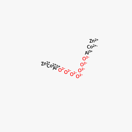 [Al+3].[Al+3].[Co+2].[Co+2].[O-2].[O-2].[O-2].[O-2].[O-2].[O-2].[O-2].[Zn+2].[Zn+2]